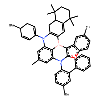 Cc1cc2c3c(c1)N(c1ccc(C(C)(C)C)cc1-c1ccccc1)c1oc4ccc(C(C)(C)C)cc4c1B3C1=C(CC3C(=C1)C(C)(C)CCC3(C)C)N2C1=CCC(C(C)(C)C)C=C1